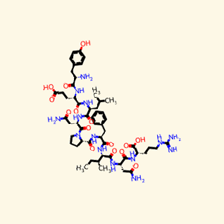 CC[C@H](C)[C@H](NC(=O)[C@H](Cc1ccccc1)NC(=O)[C@@H]1CCCN1C(=O)[C@H](CC(N)=O)NC(=O)[C@H](CC(C)C)NC(=O)[C@H](CCC(=O)O)NC(=O)[C@@H](N)Cc1ccc(O)cc1)C(=O)N[C@@H](CC(N)=O)C(=O)N[C@@H](CCCNC(=N)N)C(=O)O